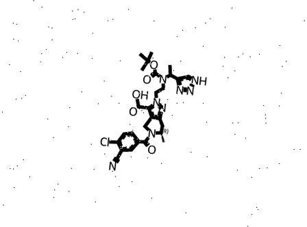 CC(c1c[nH]nn1)N(CCn1nc2c(c1C(=O)O)CN(C(=O)c1ccc(Cl)c(C#N)c1)[C@H](C)C2)C(=O)OC(C)(C)C